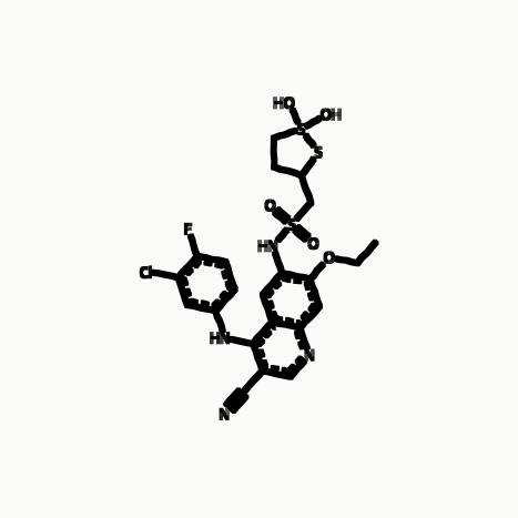 CCOc1cc2ncc(C#N)c(Nc3ccc(F)c(Cl)c3)c2cc1NS(=O)(=O)CC1CCS(O)(O)S1